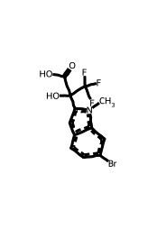 Cn1c(C(O)(C(=O)O)C(F)(F)F)cc2ccc(Br)cc21